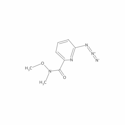 CON(C)C(=O)c1cccc(N=[N+]=[N-])n1